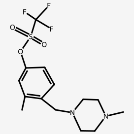 Cc1cc(OS(=O)(=O)C(F)(F)F)ccc1CN1CCN(C)CC1